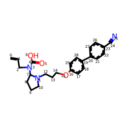 C=CCN(C(=O)O)C1CCCN1CCCOc1ccc(-c2ccc(C#N)cc2)cc1